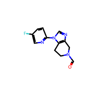 O=CN1CCc2c(ncn2-c2ccc(F)cn2)C1